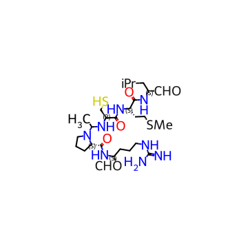 CSCC[C@H](NC(=O)[C@H](CS)NC(C)N1CCC[C@H]1C(=O)N[C@H](C=O)CCCNC(=N)N)C(=O)N[C@H](C=O)CC(C)C